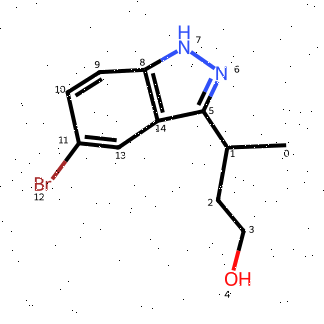 CC(CCO)c1n[nH]c2ccc(Br)cc12